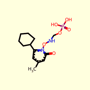 Cc1cc(C2CCCCC2)n(ONCOP(=O)(O)O)c(=O)c1